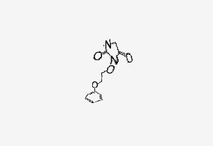 O=C1C[N]C(=O)N1OCCOc1ccccc1